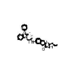 CCCC1=NC2(Cc3ccc(NC(=O)Cn4c(=O)n(-c5ccccn5)c5ccccc54)cc3C2)C(=O)N1